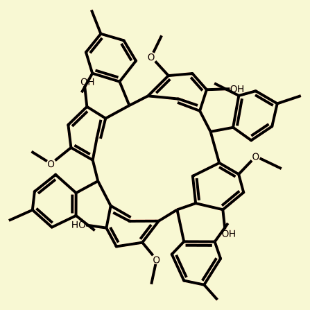 COc1cc(O)c2cc1C(c1ccc(C)cc1C)c1cc(c(OC)cc1O)C(c1ccc(C)cc1C)c1cc(c(OC)cc1O)C(c1ccc(C)cc1C)c1cc(c(OC)cc1O)C2c1ccc(C)cc1C